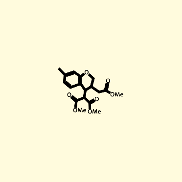 COC(=O)CC1COc2cc(C)ccc2C1C(C(=O)OC)C(=O)OC